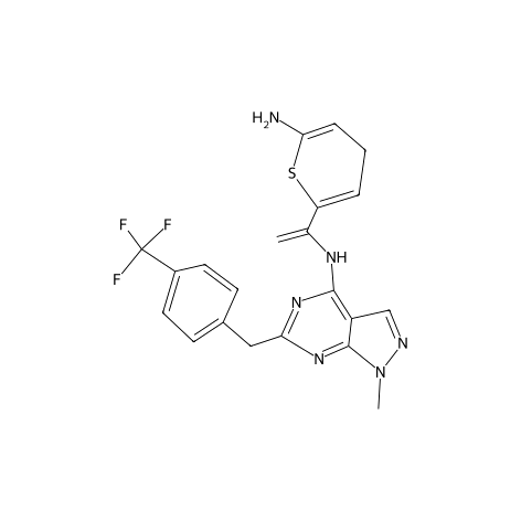 C=C(Nc1nc(Cc2ccc(C(F)(F)F)cc2)nc2c1cnn2C)C1=CCC=C(N)S1